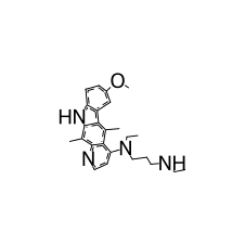 CCNCCCN(CC)c1ccnc2c(C)c3[nH]c4ccc(OC)cc4c3c(C)c12